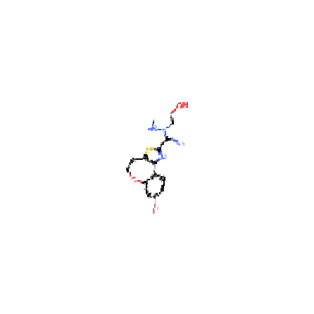 CNN(CCO)C(=N)c1nc2c(s1)CCOc1cc(Br)ccc1-2